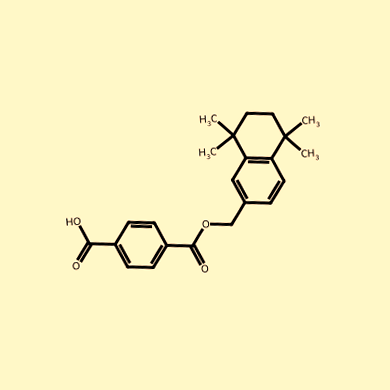 CC1(C)CCC(C)(C)c2cc(COC(=O)c3ccc(C(=O)O)cc3)ccc21